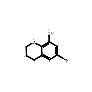 CC(=O)c1cc2c(c(C(C)(C)C)c1)OCCC2